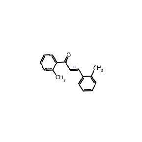 Cc1ccccc1/C=C/C(=O)c1ccccc1C